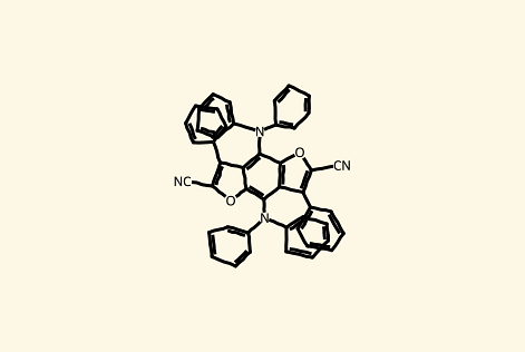 N#Cc1oc2c(N(c3ccccc3)c3ccccc3)c3c(-c4ccccc4)c(C#N)oc3c(N(c3ccccc3)c3ccccc3)c2c1-c1ccccc1